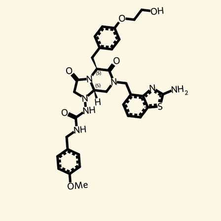 COc1ccc(CNC(=O)NN2CC(=O)N3[C@@H]2CN(Cc2cccc4sc(N)nc24)C(=O)[C@@H]3Cc2ccc(OCCO)cc2)cc1